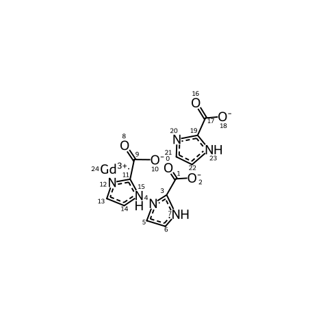 O=C([O-])c1ncc[nH]1.O=C([O-])c1ncc[nH]1.O=C([O-])c1ncc[nH]1.[Gd+3]